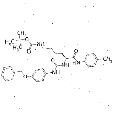 Cc1ccc(NC(=O)[C@H](CCCCNC(=O)OC(C)(C)C)NC(=O)Nc2ccc(OCc3ccccc3)cc2)cc1